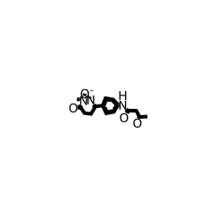 CC(=O)CC(=O)Nc1ccc(C2=N[N+](C)([O-])C(=O)CC2)cc1